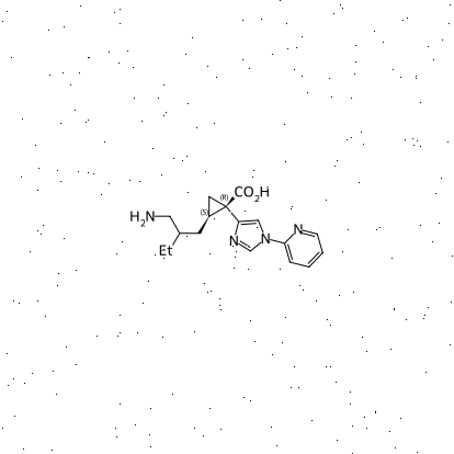 CCC(CN)C[C@H]1C[C@]1(C(=O)O)c1cn(-c2ccccn2)cn1